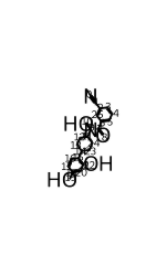 N#Cc1cccc(C(=O)N(O)C2CCC(c3ccc(O)cc3O)CC2)c1